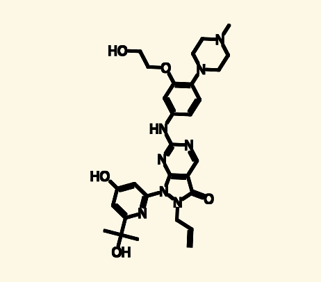 C=CCn1c(=O)c2cnc(Nc3ccc(N4CCN(C)CC4)c(OCCO)c3)nc2n1-c1cc(O)cc(C(C)(C)O)n1